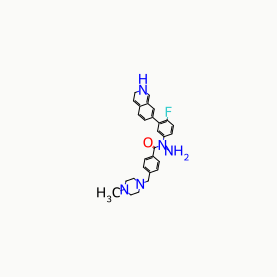 CN1CCN(Cc2ccc(C(=O)N(N)c3ccc(F)c(-c4ccc5c(c4)=CNCC=5)c3)cc2)CC1